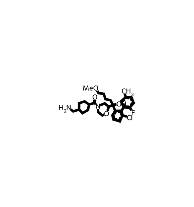 COCCCCC(O)(c1cccc(Cl)c1-c1cc(C)ccc1F)C1CN(C(=O)C2CCC(CN)CC2)CCO1